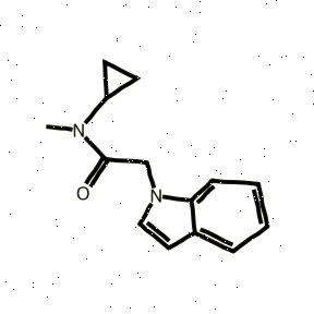 CN(C(=O)Cn1ccc2ccccc21)C1CC1